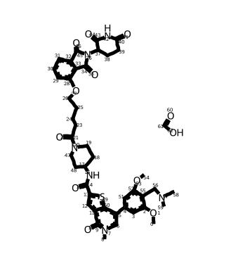 COc1cc(-c2cn(C)c(=O)c3cc(C(=O)NC4CCN(C(=O)CCCCOc5cccc6c5C(=O)N(C5CCC(=O)NC5=O)C6=O)CC4)sc23)cc(OC)c1CN(C)C.O=CO